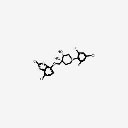 O[C@@H]1CN(c2c(F)cc(Cl)cc2F)CC[C@@]1(O)COc1ccc(Cl)c2nc(Cl)sc12